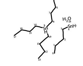 CCC[CH2][SnH].CCC[CH2][SnH]([CH2]CCC)[CH2]CCC.O